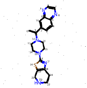 CC(c1ccc2nccnc2c1)N1CCN(c2nc3c(s2)CNCC3)CC1